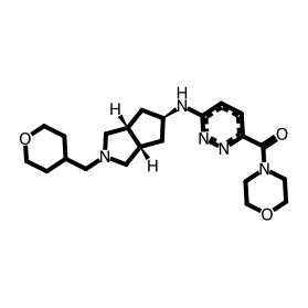 O=C(c1ccc(N[C@H]2C[C@@H]3CN(CC4CCOCC4)C[C@@H]3C2)nn1)N1CCOCC1